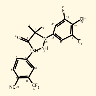 CC1(C)C(=O)[SH](c2ccc(C#N)c(C(F)(F)F)c2)NN1c1cc(F)c(O)c(F)c1